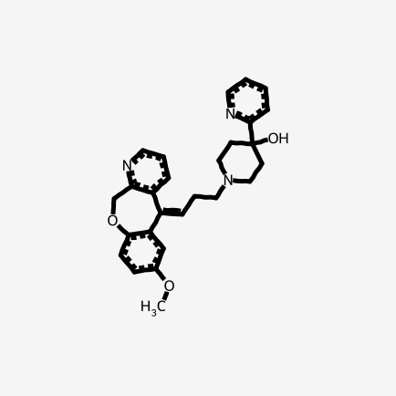 COc1ccc2c(c1)/C(=C/CCN1CCC(O)(c3ccccn3)CC1)c1cccnc1CO2